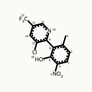 Cc1ccc([N+](=O)[O-])c(O)c1-c1ncc(C(F)(F)F)cc1Cl